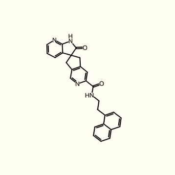 O=C(NCCc1cccc2ccccc12)c1cc2c(cn1)CC1(C2)C(=O)Nc2ncccc21